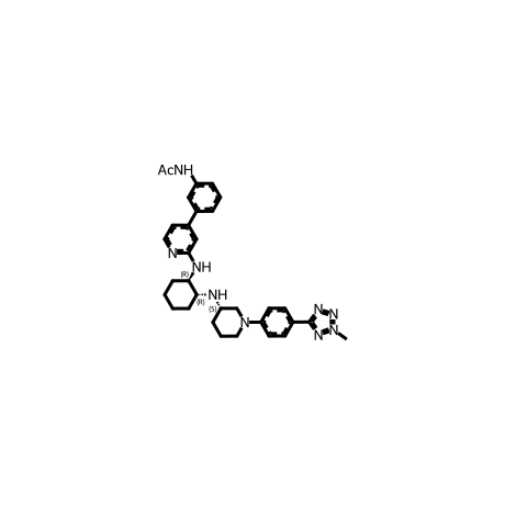 CC(=O)Nc1cccc(-c2ccnc(N[C@@H]3CCCC[C@H]3N[C@H]3CCCN(c4ccc(-c5nnn(C)n5)cc4)C3)c2)c1